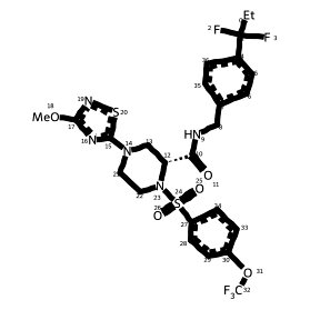 CCC(F)(F)c1ccc(CNC(=O)[C@H]2CN(c3nc(OC)ns3)CCN2S(=O)(=O)c2ccc(OC(F)(F)F)cc2)cc1